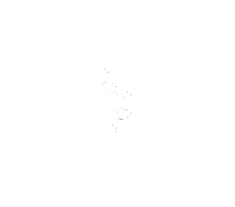 CCn1c([N+](=O)[O-])cnc1C(=N)NNC(N)=S